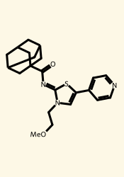 COCCn1cc(-c2ccncc2)sc1=NC(=O)C12CC3CC(CC(C3)C1)C2